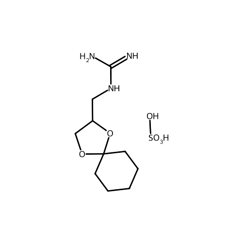 N=C(N)NCC1COC2(CCCCC2)O1.O=S(=O)(O)O